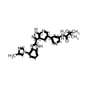 Cc1cn(-c2cccc3[nH]c(-c4n[nH]c5ncc(-c6cncc(NC(=O)C(C)(C)C)c6)cc45)nc23)cn1